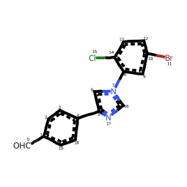 O=Cc1ccc(-c2cn(-c3cc(Br)ccc3Cl)cn2)cc1